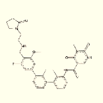 COc1cc(-c2cccc(-c3cccc(NC(=O)c4c[nH]c(=O)n(C)c4=O)c3C)c2C)cc(F)c1CNCCN1CCCC1=O